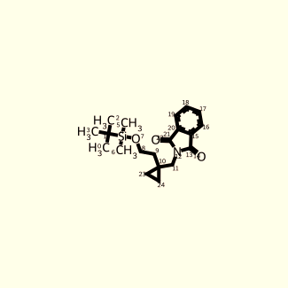 CC(C)(C)[Si](C)(C)OCCC1(CN2C(=O)c3ccccc3C2=O)CC1